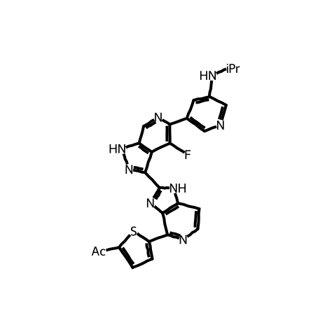 CC(=O)c1ccc(-c2nccc3[nH]c(-c4n[nH]c5cnc(-c6cncc(NC(C)C)c6)c(F)c45)nc23)s1